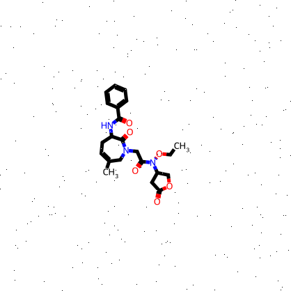 CCON(C(=O)CN1CC(C)=CCC(NC(=O)c2ccccc2)C1=O)C1COC(=O)C1